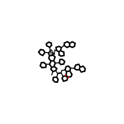 Cc1cc2c(-c3ccccc3)c3cc4c(-c5ccccc5)c(-c5ccccc5)n(-c5ccc(-c6ccc7ccccc7c6)c6ccccc56)c4cc3c(-c3ccccc3)c2cc1/C(=C(\Cc1ccc(-c2ccc3ccccc3c2)c2ccccc12)c1ccccc1)c1ccccc1